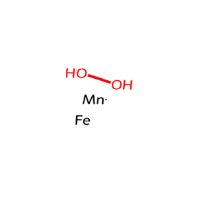 OO.[Fe].[Mn]